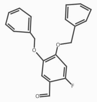 O=Cc1cc(OCc2ccccc2)c(OCc2ccccc2)cc1F